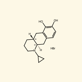 Br.Oc1ccc2c(c1O)C[C@H]1CCCN(C3CC3)[C@@H]1C2